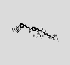 CCOC(Cc1ccc(NCCCc2cccc(OS(C)(=O)=O)c2)cc1)C(=O)OC(=O)[C@@H](N)CCCNC(=N)N